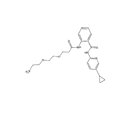 NCCOCCOCCC(=O)Nc1ccccc1C(=O)Nc1ccc(C2CC2)cn1